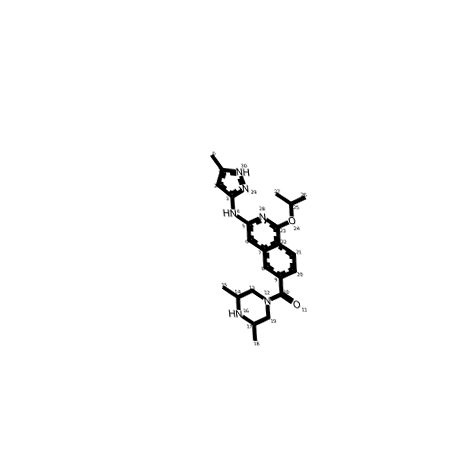 Cc1cc(Nc2cc3cc(C(=O)N4CC(C)NC(C)C4)ccc3c(OC(C)C)n2)n[nH]1